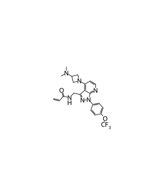 C=CC(=O)NCc1nn(-c2ccc(OC(F)(F)F)cc2)c2nccc(N3CC(N(C)C)C3)c12